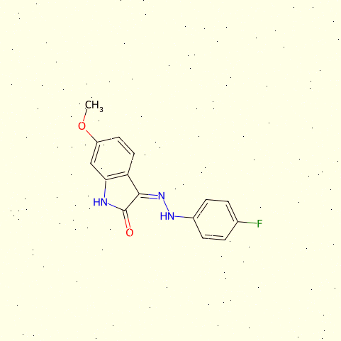 COc1ccc2c(c1)NC(=O)/C2=N\Nc1ccc(F)cc1